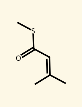 CSC(=O)C=C(C)C